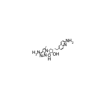 Cc1cc2c(N)ncnc2n1[C@@H]1C[C@H](CCc2ccc3nc(N)ccc3c2)[C@@H](O)[C@H]1O